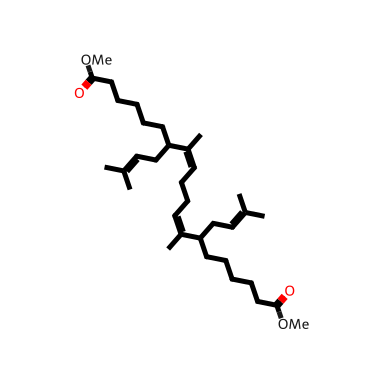 COC(=O)CCCCCC(CC=C(C)C)/C(C)=C\CC/C=C(/C)C(CC=C(C)C)CCCCCC(=O)OC